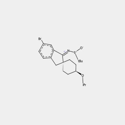 CC(C)O[C@H]1CC[C@]2(CC1)Cc1ccc(Br)cc1/C2=N/[S+]([O-])C(C)(C)C